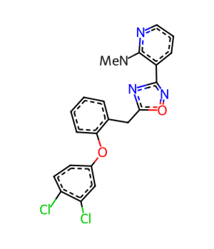 CNc1ncccc1-c1noc(Cc2ccccc2Oc2ccc(Cl)c(Cl)c2)n1